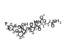 COC(=O)NC(CC/C=C/C(N)=O)C(=O)Nc1cccn(Cc2cc3cccc(OCc4ccc(F)cc4F)c3n2C(=O)O)c1=O